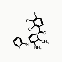 CC1C(N)=C(Nc2ccccn2)C=CN1C(=O)c1ccc(F)c(Cl)c1Cl